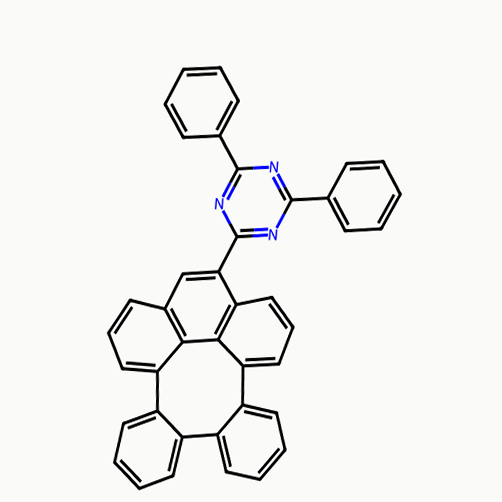 c1ccc(-c2nc(-c3ccccc3)nc(-c3cc4cccc5c6ccccc6c6ccccc6c6cccc3c6c45)n2)cc1